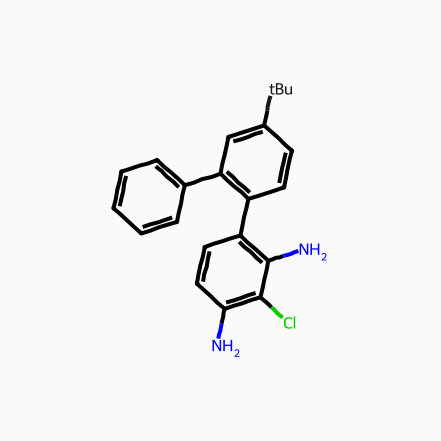 CC(C)(C)c1ccc(-c2ccc(N)c(Cl)c2N)c(-c2ccccc2)c1